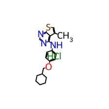 Cc1csc2ncnc(Nc3ccc(OCC4CCCCC4)cc3)c12.Cl